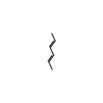 [CH2]C=CC=C[CH2]